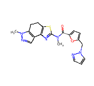 CN(C(=O)c1ccc(Cn2cccn2)o1)c1nc2c(s1)CCc1c-2cnn1C